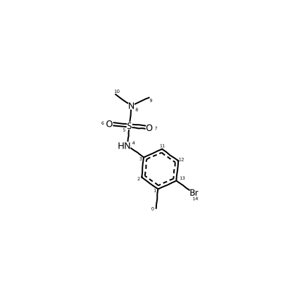 Cc1cc(NS(=O)(=O)N(C)C)ccc1Br